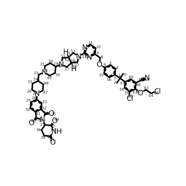 CC(C)(c1ccc(OCc2ccnc(N3C[C@@H]4CN(C5CCN(CC6CCN(c7ccc8c(c7)C(=O)N(C7CCC(=O)NC7=O)C8=O)CC6)CC5)C[C@@H]4C3)n2)cc1)c1cc(Cl)c(OCCCl)c(C#N)c1